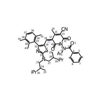 CC(=O)N(C(=O)c1ccccc1)N1C(=O)C(C#N)=C(C)/C(=C/c2sc(N(CC(C)C(C)C)CC(C)C(C)C)nc2-c2c(C)ccc(C)c2C)C1=O